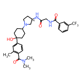 Cc1cc(C2(O)CCC(N3CC[C@@H](NC(=O)CNC(=O)c4cccc(C(F)(F)F)c4)C3)CC2)ccc1C(=O)N(C)C